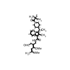 CN/C(C)=C\C(OC)=C(/CC=O)CNC(=O)c1c(C)c([C@@H](C)C2CCN(C(=O)C(F)(P)P)CC2)n2ncccc12